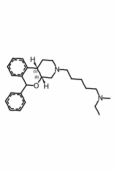 CCN(C)CCCCCN1CC[C@H]2c3ccccc3C(c3ccccc3)O[C@H]2C1